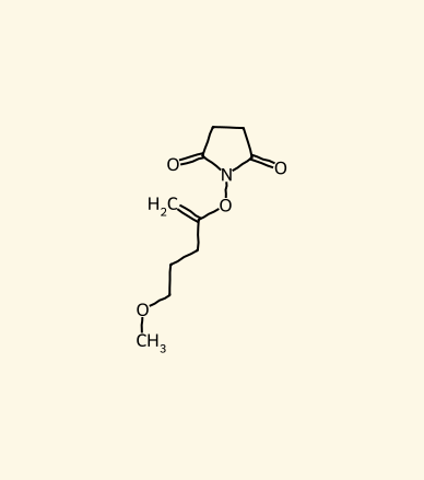 C=C(CCCOC)ON1C(=O)CCC1=O